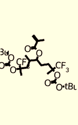 C=C(C)C(=O)OC(CCC(C)(OC(=O)OC(C)(C)C)C(F)(F)F)C(C)CC(C)(OC(=O)OC(C)(C)C)C(F)(F)F